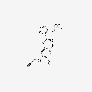 C#CCOc1cc(NC(=O)c2sccc2OC(=O)O)c(F)cc1Cl